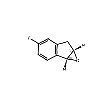 Fc1ccc2c(c1)C[C@@H]1O[C@H]21